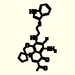 CC(=O)c1cn2c3c(c(NCCSc4c[nH]c5ccccc45)c(F)c(N)c3c1=O)OCC21CCCC1